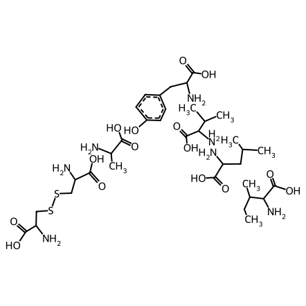 CC(C)C(N)C(=O)O.CC(C)CC(N)C(=O)O.CC(N)C(=O)O.CCC(C)C(N)C(=O)O.NC(CSSCC(N)C(=O)O)C(=O)O.NC(Cc1ccc(O)cc1)C(=O)O